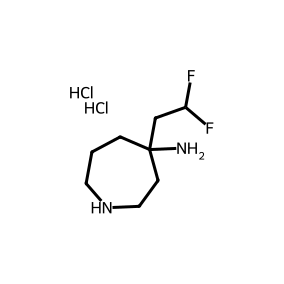 Cl.Cl.NC1(CC(F)F)CCCNCC1